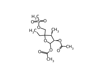 CCC1(COS(C)(=O)=O)OC(OC(C)=O)[C@H](OC(C)=O)[C@@H]1C